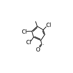 Cc1c(Cl)cc([C]=O)c(Cl)c1Cl